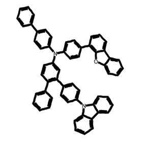 c1ccc(-c2ccc(N(c3ccc(-c4cccc5c4oc4ccccc45)cc3)c3ccc(-c4ccccc4)c(-c4ccc(-n5c6ccccc6c6ccccc65)cc4)c3)cc2)cc1